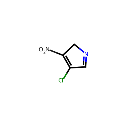 O=[N+]([O-])C1=C(Cl)C=NC1